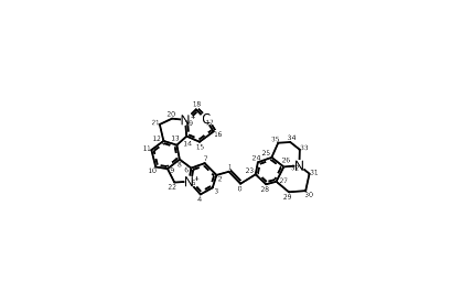 C(=C\c1cc[n+]2c(c1)-c1c(ccc3c1-c1cccc[n+]1CC3)C2)/c1cc2c3c(c1)CCCN3CCC2